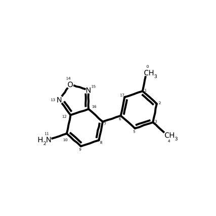 Cc1cc(C)cc(-c2ccc(N)c3nonc23)c1